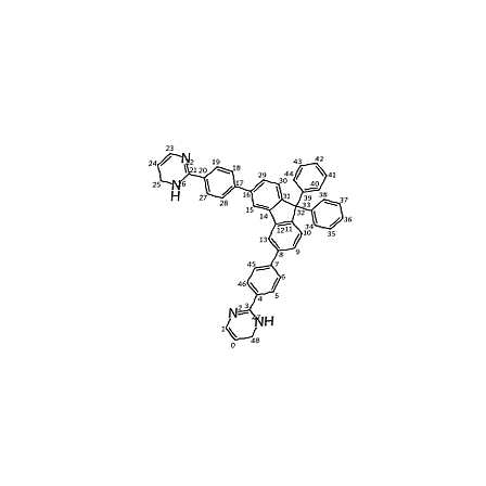 C1=CN=C(c2ccc(-c3ccc4c(c3)-c3cc(-c5ccc(C6=NC=CCN6)cc5)ccc3C4(c3ccccc3)c3ccccc3)cc2)NC1